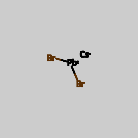 [Br][Pb][Br].[Cs]